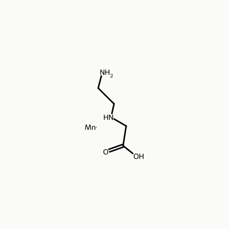 NCCNCC(=O)O.[Mn]